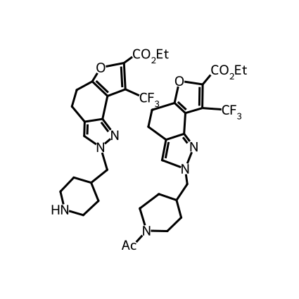 CCOC(=O)c1oc2c(c1C(F)(F)F)-c1nn(CC3CCN(C(C)=O)CC3)cc1CC2.CCOC(=O)c1oc2c(c1C(F)(F)F)-c1nn(CC3CCNCC3)cc1CC2